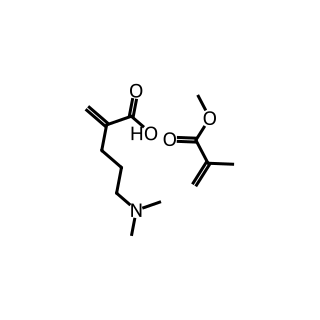 C=C(C)C(=O)OC.C=C(CCCN(C)C)C(=O)O